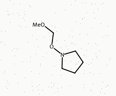 COCON1CCCC1